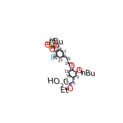 CCCCOc1cc(/C=C(/OCC)C(=O)O)ccc1OCCc1ccc(OS(=O)(=O)CCCC)c(F)c1